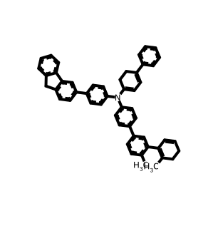 CC1=C(c2cc(-c3ccc(N(C4=CC=C(c5ccccc5)CC4)c4ccc(-c5ccc6c(c5)-c5ccccc5C6)cc4)cc3)ccc2C)C=CCC1